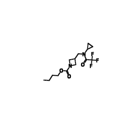 CCCCOC(=O)N1CC(CN(C(=O)C(F)(F)F)C2CC2)C1